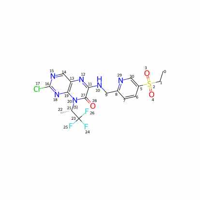 CCS(=O)(=O)c1ccc(CNc2nc3cnc(Cl)nc3n([C@@H](C)C(F)(F)F)c2=O)nc1